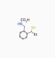 CCC(S)c1ccccc1CNC(=O)O